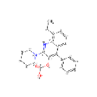 CCc1cccc2c(-c3ccccc3)c(OC(=O)O)c(N3CCCCC3)nc12